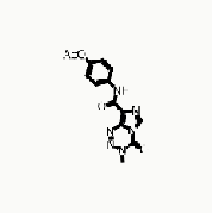 CC(=O)Oc1ccc(NC(=O)c2ncn3c(=O)n(C)nnc23)cc1